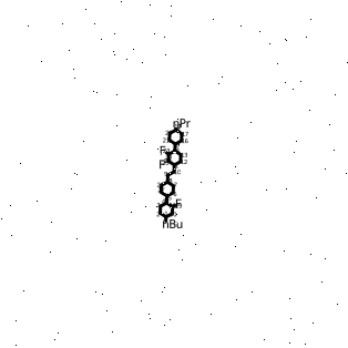 CCCCC1CCC(C2CCC(CCC3CCC(C4CCC(CCC)CC4)C(F)[C@H]3F)CC2)C(F)C1